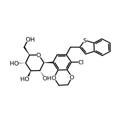 OC[C@H]1O[C@@H](c2cc(Cc3cc4ccccc4s3)c(Cl)c3c2OCCO3)[C@H](O)[C@@H](O)[C@@H]1O